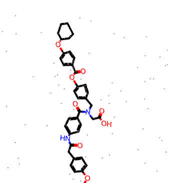 COc1ccc(CC(=O)Nc2ccc(C(=O)N(CC(=O)O)Cc3ccc(OC(=O)c4ccc(OC5CCCCC5)cc4)cc3)cc2)cc1